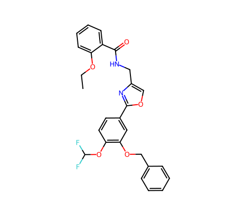 CCOc1ccccc1C(=O)NCc1coc(-c2ccc(OC(F)F)c(OCc3ccccc3)c2)n1